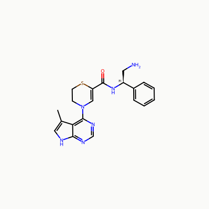 Cc1c[nH]c2ncnc(N3C=C(C(=O)N[C@@H](CN)c4ccccc4)SCC3)c12